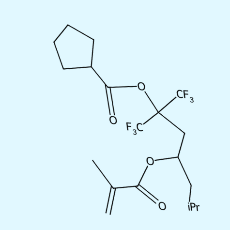 C=C(C)C(=O)OC(CC(C)C)CC(OC(=O)C1CCCC1)(C(F)(F)F)C(F)(F)F